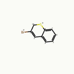 BrC1=Cc2ccccc2SC1